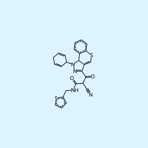 N#CC(C(=O)NCc1cccs1)C(=O)C1=NN(C2C=CCC=C2)C2C1=CSc1ccccc12